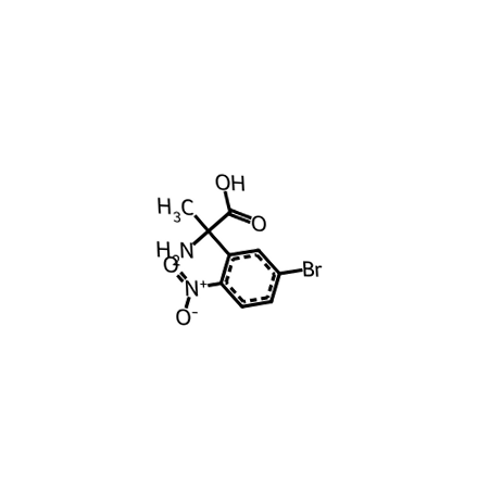 CC(N)(C(=O)O)c1cc(Br)ccc1[N+](=O)[O-]